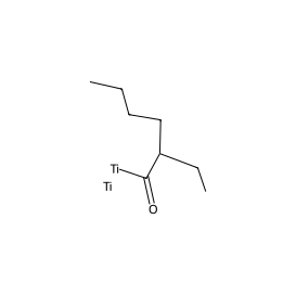 CCCCC(CC)[C](=O)[Ti].[Ti]